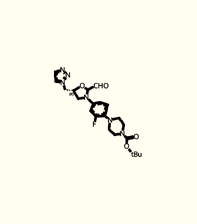 CC(C)(C)OC(=O)N1CCN(c2ccc(N3C[C@H](Cn4ccnn4)OC3C=O)cc2F)CC1